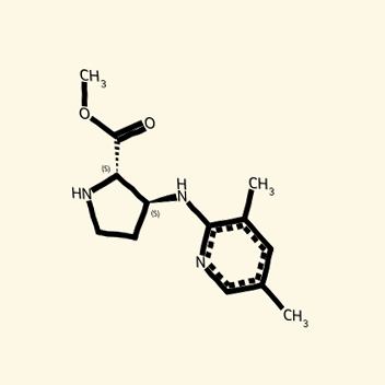 COC(=O)[C@H]1NCC[C@@H]1Nc1ncc(C)cc1C